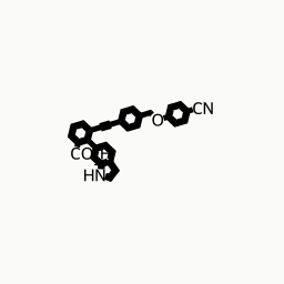 N#Cc1ccc(OCc2ccc(C#Cc3cccc(C(=O)O)c3-c3ccc4cc[nH]c4c3)cc2)cc1